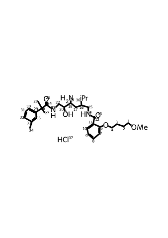 COCCCCOc1ccccc1C(=O)NCC(CC(N)C(O)CNC(=O)C(C)(C)c1cccc(C)c1)C(C)C.Cl